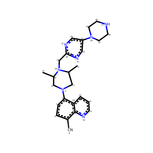 CC1CN(c2ccc(C#N)c3ncccc23)CC(C)N1Cc1ncc(N2CCNCC2)cn1